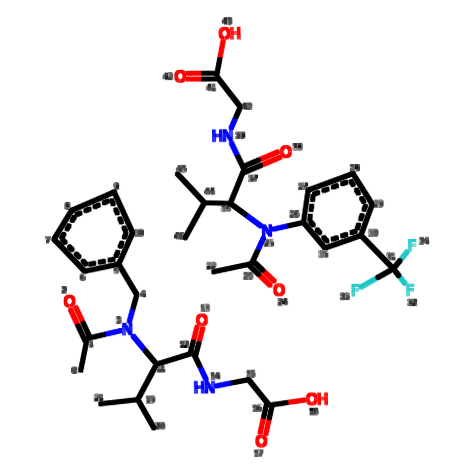 CC(=O)N(Cc1ccccc1)C(C(=O)NCC(=O)O)C(C)C.CC(=O)N(c1cccc(C(F)(F)F)c1)C(C(=O)NCC(=O)O)C(C)C